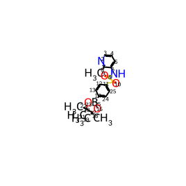 Cc1ncccc1NS(=O)(=O)c1ccc(B2OC(C)(C)C(C)(C)O2)cc1